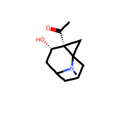 CC(=O)[C@]12CC13CCCC(C[C@@H]2O)N3C